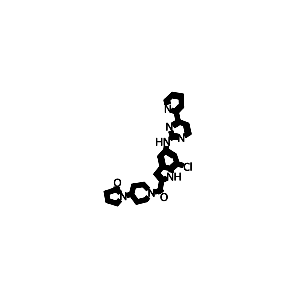 O=C(c1cc2cc(Nc3nccc(-c4ccccn4)n3)cc(Cl)c2[nH]1)N1CCC(N2CCCC2=O)CC1